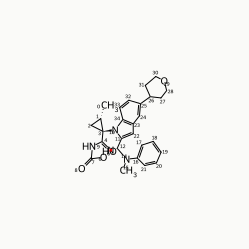 C[C@H]1C[C@]1(c1noc(=O)[nH]1)n1c(C(O)N(C)c2ccccc2)cc2cc(C3CCOCC3)ccc21